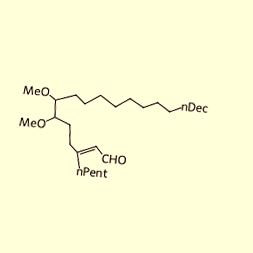 CCCCCCCCCCCCCCCCCCC(OC)C(CCC(=CC=O)CCCCC)OC